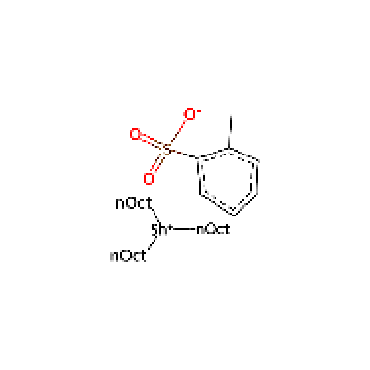 CCCCCCC[CH2][Sn+]([CH2]CCCCCCC)[CH2]CCCCCCC.Cc1ccccc1S(=O)(=O)[O-]